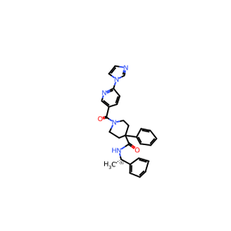 C[C@H](NC(=O)C1(c2ccccc2)CCN(C(=O)c2ccc(-n3ccnc3)nc2)CC1)c1ccccc1